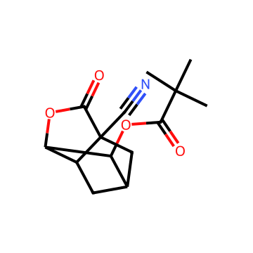 CC(C)(C)C(=O)OC1C2CC3C1OC(=O)C3(C#N)C2